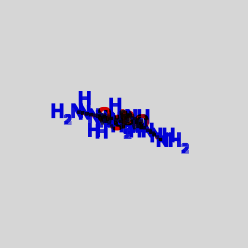 CC(C)C1=C(OCC(=O)NCCCC[C@H](N)C(=O)NCCCNCCCCNCCCN)C[C@@H](CC2C3CCC2C(CC(=O)NCCCC[C@H](N)C(=O)NCCCNCCCCNCCCN)C3)CC1